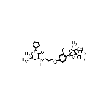 CC(C)C[C@H](NCCCOc1ccc(B2OC(C)(C)C(C)(C)O2)c(Cl)c1)C(=O)OC1CCCC1